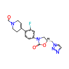 O=CN1CC=C(c2ccc(N3C[C@H](Cn4ccnn4)OC3=O)cc2F)CC1